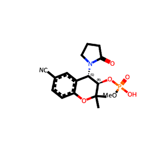 COP(=O)(O)O[C@@H]1[C@@H](N2CCCC2=O)c2cc(C#N)ccc2OC1(C)C